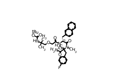 CN(C(=O)COCC(C)(C)NC(=O)OC(C)(C)C)[C@H](Cc1ccc2ccccc2c1)C(=O)N(C)[C@](C)(Cc1ccc(F)cc1)C(N)=O